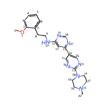 COc1ccccc1CCNc1cc(-c2cnc(N3CCN(C)CC3)nc2)ncn1